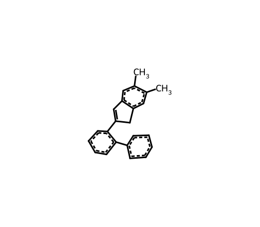 Cc1cc2c(cc1C)CC(c1ccccc1-c1ccccc1)=C2